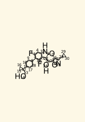 O=C1Nc2cc(F)c(-c3ccc(C4(CO)CC4)cc3)c(F)c2C1=C(O)c1cc(C2CC2)no1